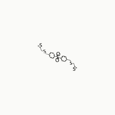 O=S(=O)(c1ccc(CSCC2CS2)cc1)c1ccc(CSCC2CS2)cc1